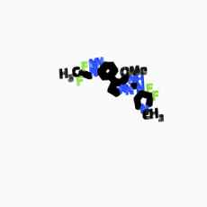 COc1nc(N[C@@H]2CCN(C)CC2(F)F)nn2ccc(-c3ccc4nnn(CC(C)(F)F)c4c3)c12